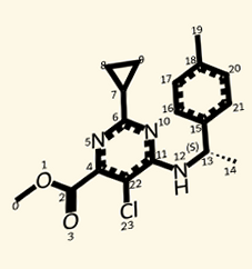 COC(=O)c1nc(C2CC2)nc(N[C@@H](C)c2ccc(C)cc2)c1Cl